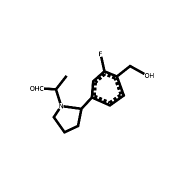 CC(C=O)N1CCCC1c1ccc(CO)c(F)c1